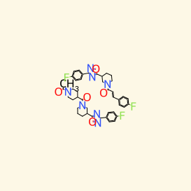 CC(=O)N1CCC(C(=O)N2CCCC(c3nc(-c4ccc(F)cc4)no3)C2)CC1.O=C(C=Cc1ccc(F)cc1)N1CCCC(c2nc(-c3ccc(F)cc3)no2)C1